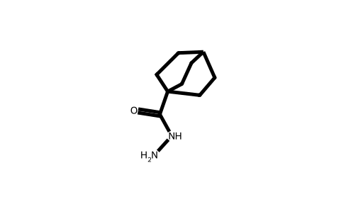 NNC(=O)C12CCC(CC1)CC2